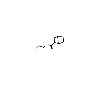 NCCOC(=O)C1CC2CCC1O2